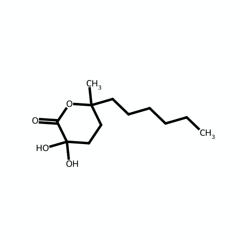 CCCCCCC1(C)CCC(O)(O)C(=O)O1